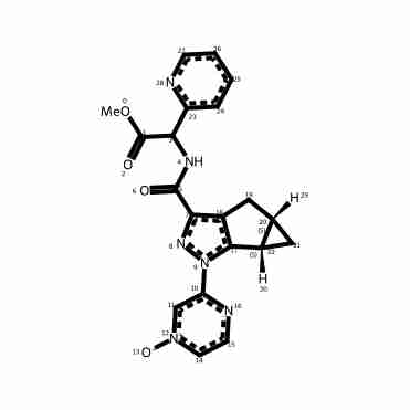 COC(=O)C(NC(=O)c1nn(-c2c[n+]([O-])ccn2)c2c1C[C@@H]1C[C@H]21)c1ccccn1